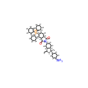 C=C1CC(C)(c2ccc(N)cc2)c2ccc(N3C(=O)c4ccc([PH](c5ccccc5)(c5ccccc5)c5ccccc5)cc4C3=O)cc21